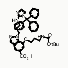 CC(C)(C)OC(=O)NCCCOc1cc(C(=O)O)cc2cnn(CCCNc3nccn3C(c3ccccc3)(c3ccccc3)c3ccccc3)c12